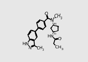 CCC(=O)N[C@H]1CC[C@@H](N(C)C(=O)c2ccc(-c3ccc4[nH]nc(C)c4c3)cc2)C1